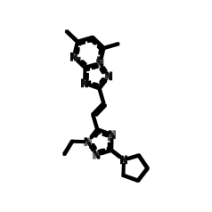 CCn1nc(N2CCCC2)nc1C=Cc1nc2nc(C)cc(C)n2n1